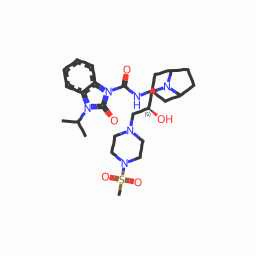 CC(C)n1c(=O)n(C(=O)NC2CC3CCC(C2)N3C[C@@H](O)CN2CCN(S(C)(=O)=O)CC2)c2ccccc21